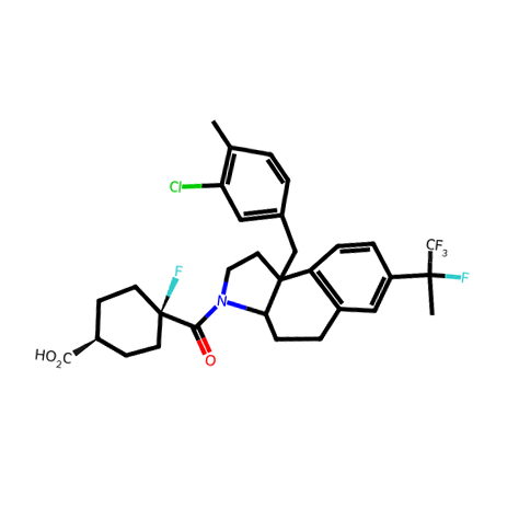 Cc1ccc(CC23CCN(C(=O)[C@]4(F)CC[C@@H](C(=O)O)CC4)C2CCc2cc(C(C)(F)C(F)(F)F)ccc23)cc1Cl